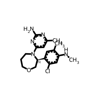 CNc1cc(Cl)c([C@H]2COCCCN2c2cc(C)nc(N)n2)cc1C